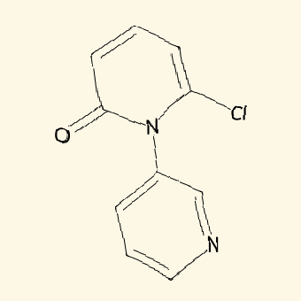 O=c1cccc(Cl)n1-c1cccnc1